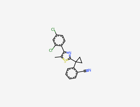 Cc1sc(C2(c3ccccc3C#N)CC2)nc1-c1ccc(Cl)cc1Cl